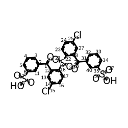 O=C(c1cccc(S(=O)(=O)O)c1)c1cc(Cl)ccc1S(=O)(=O)c1ccc(Cl)cc1C(=O)c1cccc(S(=O)(=O)O)c1